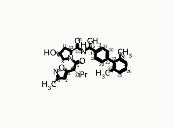 Cc1cc([C@H](C(=O)N2C[C@H](O)C[C@H]2C(=O)N[C@@H](C)c2ccc(-c3c(C)cccc3C)cc2)C(C)C)on1